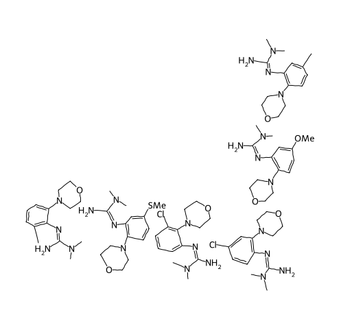 CN(C)C(N)=Nc1ccc(Cl)cc1N1CCOCC1.CN(C)C(N)=Nc1cccc(Cl)c1N1CCOCC1.COc1ccc(N2CCOCC2)c(N=C(N)N(C)C)c1.CSc1ccc(N2CCOCC2)c(N=C(N)N(C)C)c1.Cc1ccc(N2CCOCC2)c(N=C(N)N(C)C)c1.Cc1cccc(N2CCOCC2)c1N=C(N)N(C)C